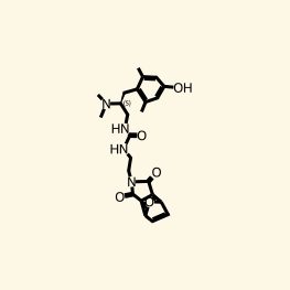 Cc1cc(O)cc(C)c1C[C@@H](CNC(=O)NCCN1C(=O)c2c(c3ccc2o3)C1=O)N(C)C